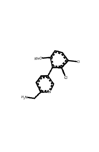 COc1ccc(Cl)c(Cl)c1-c1ccc(CN)nc1